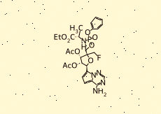 CCOC(=O)[C@H](C)NP(=O)(OC[C@@]1(CF)O[C@@H](c2ccc3c(N)ncnn23)[C@H](OC(C)=O)[C@@H]1OC(C)=O)Oc1ccccc1